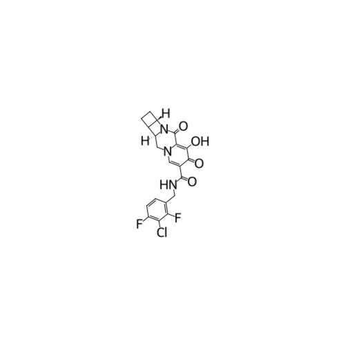 O=C(NCc1ccc(F)c(Cl)c1F)c1cn2c(c(O)c1=O)C(=O)N1[C@H]3CCC3[C@@H]1C2